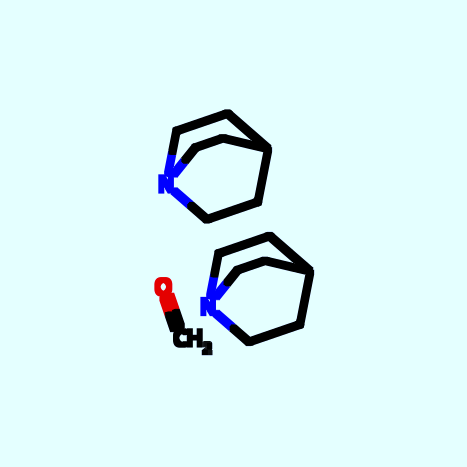 C1CN2CCC1CC2.C1CN2CCC1CC2.C=O